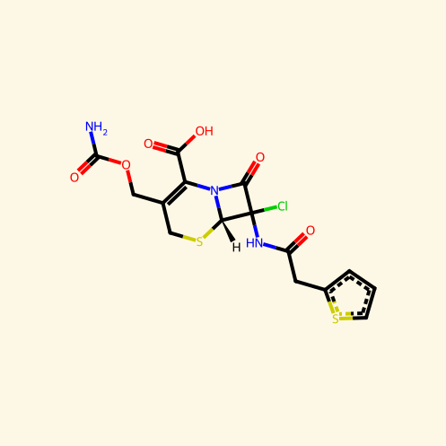 NC(=O)OCC1=C(C(=O)O)N2C(=O)C(Cl)(NC(=O)Cc3cccs3)[C@@H]2SC1